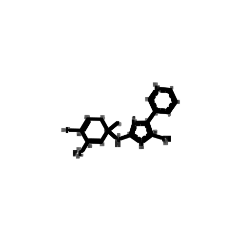 CC1(Nc2nc(-c3cccnc3)c(C#N)s2)C=C(C(F)(F)F)C(F)=CC1